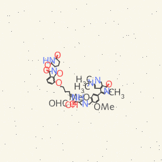 COc1cc(-c2cn(C)c(=O)c3cnc(N(C)C)cc23)cc(OC)c1CN1CC(C(=O)NCCCCCOc2cccc3c2C(=O)N(C2CCC(=O)NC2=O)C3=O)C1.O=CO